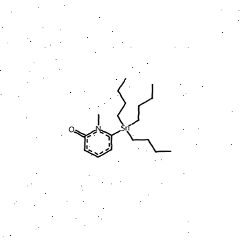 CCC[CH2][Sn]([CH2]CCC)([CH2]CCC)[c]1cccc(=O)n1C